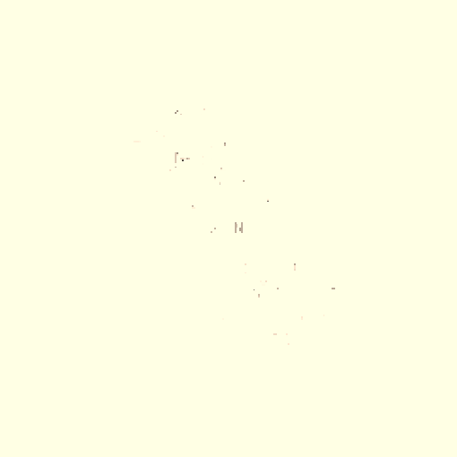 O=C1COc2ccccc2N1CCN1CCN(c2cccc(F)n2)CC1